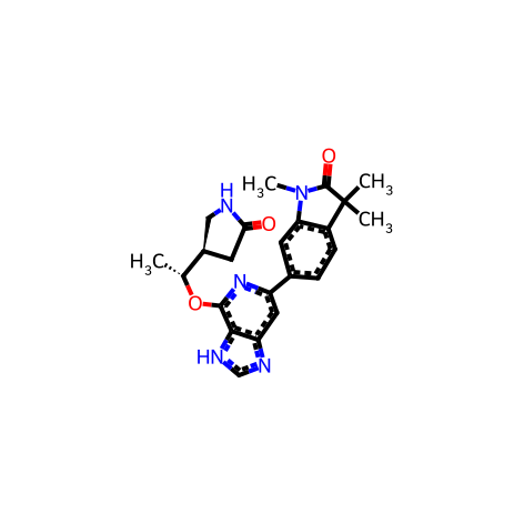 C[C@@H](Oc1nc(-c2ccc3c(c2)N(C)C(=O)C3(C)C)cc2nc[nH]c12)[C@H]1CNC(=O)C1